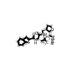 C=C(C)C[C@H](NC(=O)c1cc2ccccc2s1)C(=O)NC[C@H]1CCO[C@@H]1CN=[N+]=[N-]